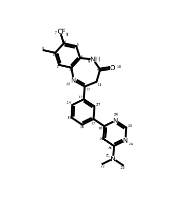 Cc1cc2c(cc1C(F)(F)F)NC(=O)CC(c1cccc(-c3cc(N(C)C)ncn3)c1)=N2